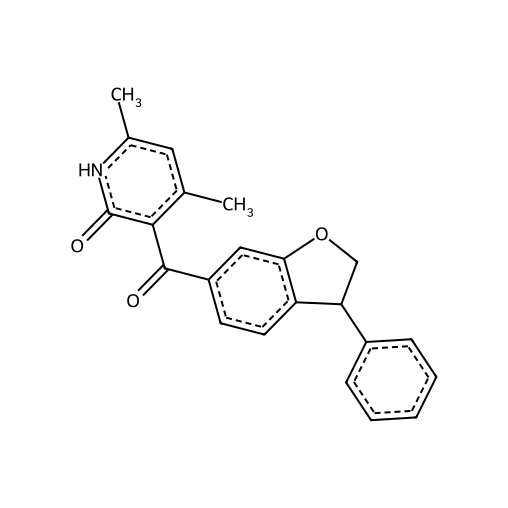 Cc1cc(C)c(C(=O)c2ccc3c(c2)OCC3c2ccccc2)c(=O)[nH]1